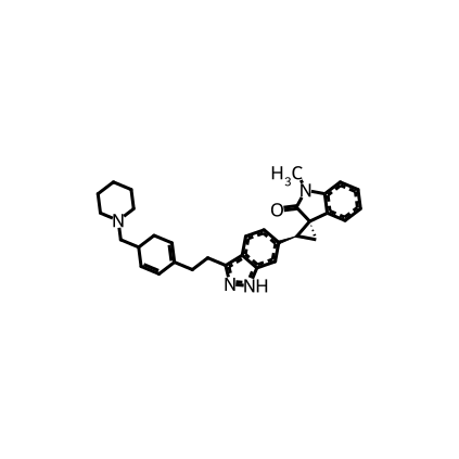 CN1C(=O)[C@@]2(C[C@H]2c2ccc3c(CCC4=CCC(CN5CCCCC5)C=C4)n[nH]c3c2)c2ccccc21